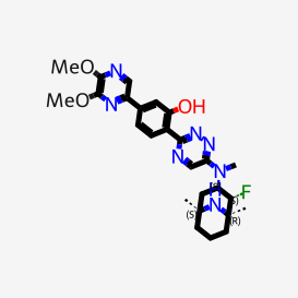 COc1ncc(-c2ccc(-c3ncc(N(C)[C@H]4C[C@]5(C)CCC[C@@](C)(N5)[C@H]4F)nn3)c(O)c2)nc1OC